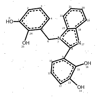 Oc1cccc(Cn2c(-c3cccc(O)c3O)nc3ccccc32)c1O